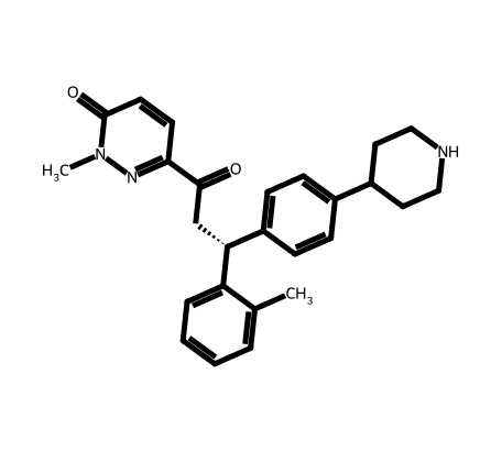 Cc1ccccc1[C@H](CC(=O)c1ccc(=O)n(C)n1)c1ccc(C2CCNCC2)cc1